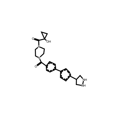 O=C(c1ccc(-c2ccc(C3CNNC3)cc2)cc1)N1CCN(C(=O)C2(O)CC2)CC1